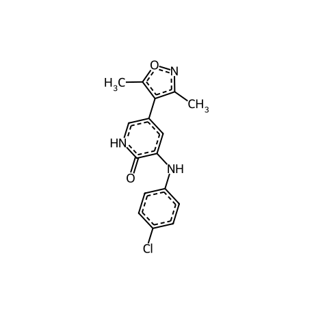 Cc1noc(C)c1-c1c[nH]c(=O)c(Nc2ccc(Cl)cc2)c1